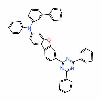 c1ccc(-c2cccc(N(c3ccccc3)c3ccc4c(c3)oc3cc(-c5nc(-c6ccccc6)nc(-c6ccccc6)n5)ccc34)c2)cc1